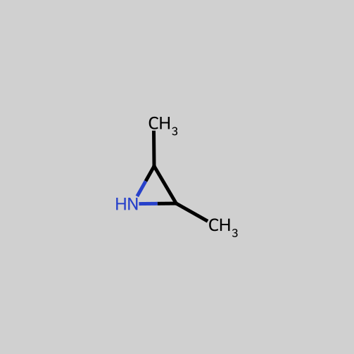 CC1NC1C